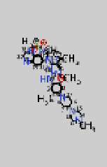 COc1cc(N2CCC(N3CCN(C)CC3)CC2)c(C)cc1Nc1ncc(C(C)C)c(Nc2ccc3nccnc3c2N(C)S(C)(=O)=O)n1